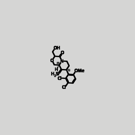 COc1ccc(Cl)c(Cl)c1[C@@H]1CCN2C(=O)C(CO)OC[C@@H]2C1=[SiH2]